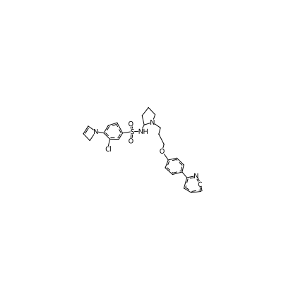 O=S(=O)(NC1CCCN1CCCOc1ccc(-c2ccccn2)cc1)c1ccc(N2C=CC2)c(Cl)c1